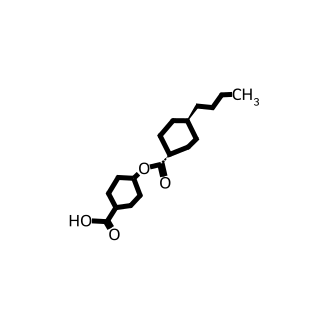 CCCC[C@H]1CC[C@H](C(=O)OC2CCC(C(=O)O)CC2)CC1